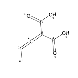 CC=C=C(C(=O)O)C(=O)O